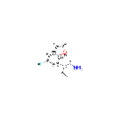 CCC(CN)c1cc(F)cc2ccoc12